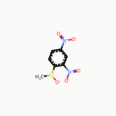 C[S+]([O-])c1ccc([N+](=O)[O-])cc1[N+](=O)[O-]